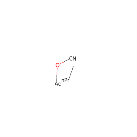 CC(=O)OC#N.CCCC